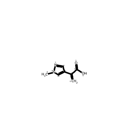 C=C(C(=O)O)c1cnn(C)c1